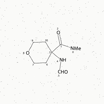 CNC(=O)C1(NC=O)CCOCC1